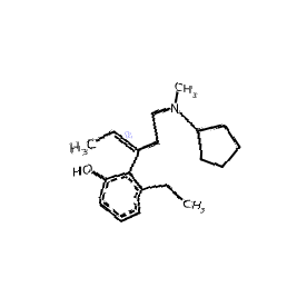 C/C=C(/CCN(C)C1CCCC1)c1c(O)cccc1CC